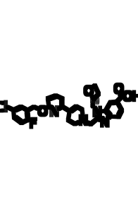 O=C(O)c1ccc2nc(CN3CC=C(c4cccc(OCc5cc(Cl)ccc5F)n4)CC3)n(C[C@@H]3CCO3)c2c1